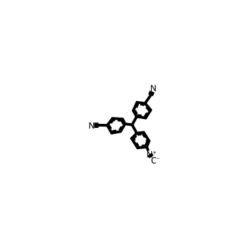 [C-]#[N+]c1ccc(C(c2ccc(C#N)cc2)c2ccc(C#N)cc2)cc1